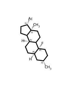 CC(=O)[C@H]1CCC2[C@@H]3CC[C@@H]4C[C@@H](C)CC[C@]4(F)C3CC[C@@]21C